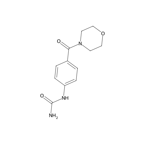 NC(=O)Nc1ccc(C(=O)N2CCOCC2)cc1